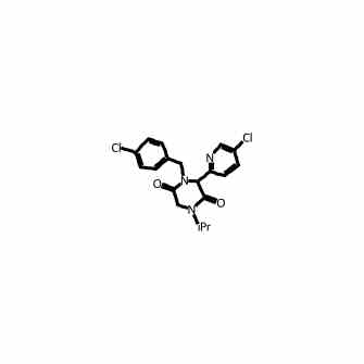 CC(C)N1CC(=O)N(Cc2ccc(Cl)cc2)C(c2ccc(Cl)cn2)C1=O